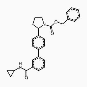 O=C(NC1CC1)c1cccc(-c2ccc(C3CCCN3C(=O)OCc3ccccc3)cc2)c1